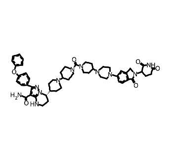 NC(=O)c1c(-c2ccc(Oc3ccccc3)cc2)nn2c1NCC[C@H]2C1CCN(C2CCN(C(=O)N3CCC(N4CCN(c5ccc6c(c5)CN(C5CCC(=O)NC5=O)C6=O)CC4)CC3)CC2)CC1